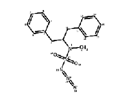 CN(C(Cc1ccccc1)Cc1ccccc1)S(=O)(=O)N=[N+]=[N-]